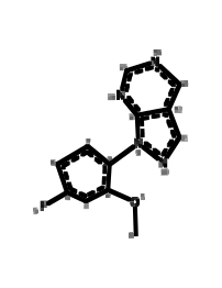 COc1cc(F)ccc1-n1ncc2cncnc21